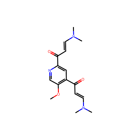 COc1cnc(C(=O)/C=C/N(C)C)cc1C(=O)/C=C/N(C)C